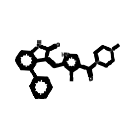 Cc1c(C(=O)N2CCN(C)CC2)c[nH]c1/C=C1\C(=O)Nc2cccc(-c3ccccc3)c21